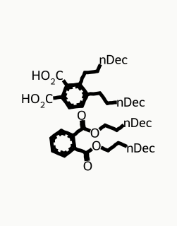 CCCCCCCCCCCCOC(=O)c1ccccc1C(=O)OCCCCCCCCCCCC.CCCCCCCCCCCCc1ccc(C(=O)O)c(C(=O)O)c1CCCCCCCCCCCC